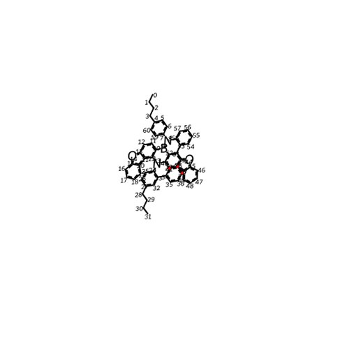 CCCCc1ccc(N2B3c4ccc5oc6ccccc6c5c4N(c4ccc(CCCC)cc4-c4ccccc4)c4cc5c(oc6ccccc65)c(c43)-c3ccccc32)cc1